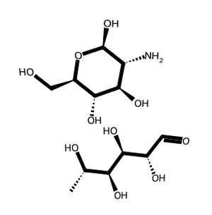 C[C@H](O)[C@H](O)[C@@H](O)[C@@H](O)C=O.N[C@@H]1[C@@H](O)[C@H](O)[C@@H](CO)O[C@H]1O